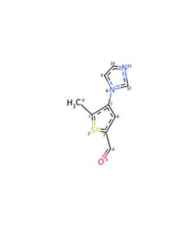 Cc1sc(C=O)cc1-n1ccnc1